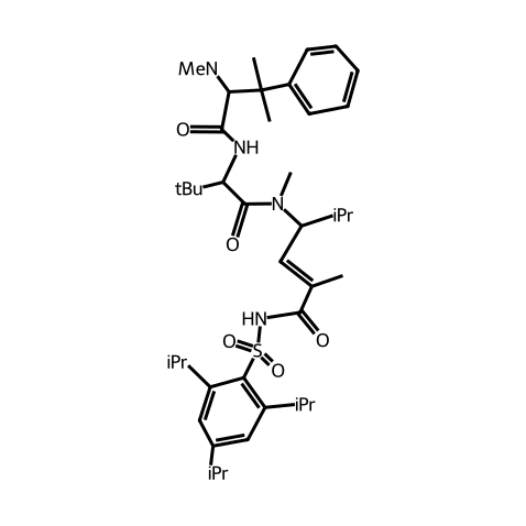 CNC(C(=O)NC(C(=O)N(C)C(C=C(C)C(=O)NS(=O)(=O)c1c(C(C)C)cc(C(C)C)cc1C(C)C)C(C)C)C(C)(C)C)C(C)(C)c1ccccc1